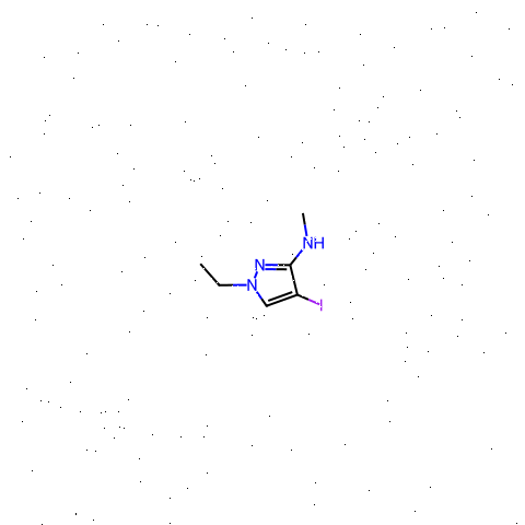 CCn1cc(I)c(NC)n1